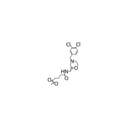 CS(=O)(=O)CCCC(=O)NC[C@H]1CN(Cc2ccc(Cl)c(Cl)c2)CCO1